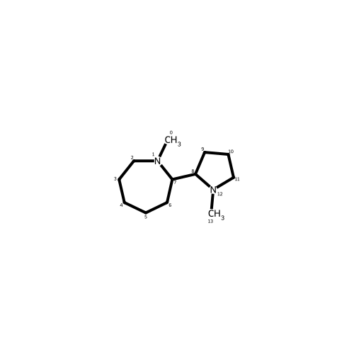 CN1CCCCCC1C1CCCN1C